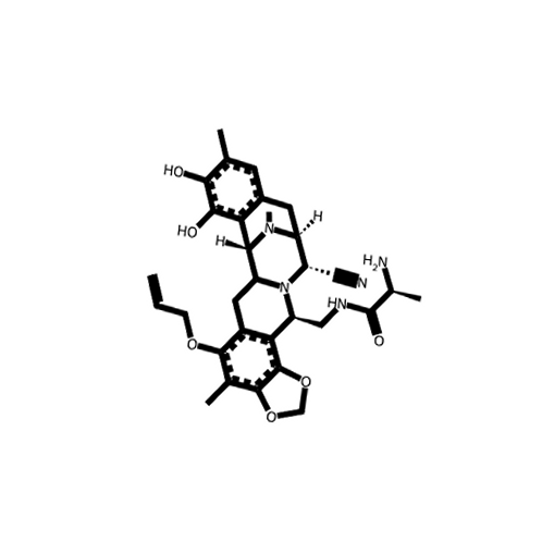 C=CCOc1c(C)c2c(c3c1CC1[C@@H]4c5c(cc(C)c(O)c5O)C[C@@H]([C@H](C#N)N1[C@H]3CNC(=O)[C@H](C)N)N4C)OCO2